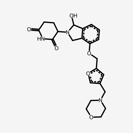 O=C1CCC(N2Cc3c(OCc4cc(CN5CCOCC5)co4)cccc3C2O)C(=O)N1